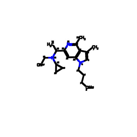 COCCCn1cc(C)c2c(C)nc(C(C)N(CN=O)C3CC3)cc21